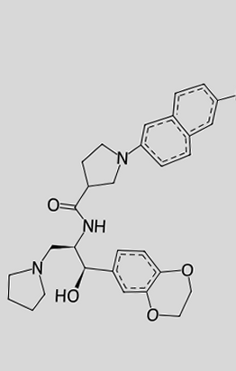 O=C(N[C@H](CN1CCCC1)[C@H](O)c1ccc2c(c1)OCCO2)C1CCN(c2ccc3cc(F)ccc3c2)C1